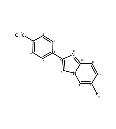 O=Cc1ccc(-c2cn3cc(F)ccc3n2)cc1